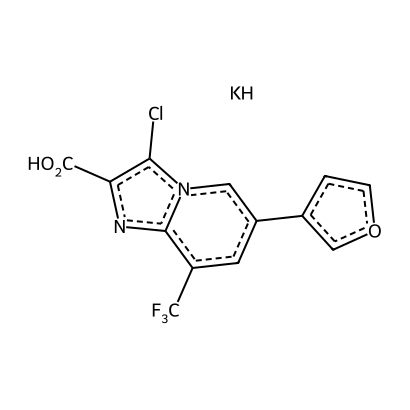 O=C(O)c1nc2c(C(F)(F)F)cc(-c3ccoc3)cn2c1Cl.[KH]